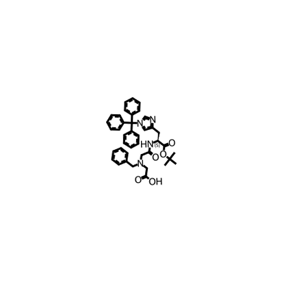 CC(C)(C)OC(=O)[C@H](Cc1cn(C(c2ccccc2)(c2ccccc2)c2ccccc2)cn1)NC(=O)CN(CC(=O)O)Cc1ccccc1